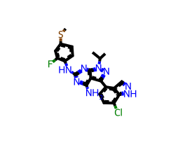 CSc1ccc(Nc2nc(N)c3c(-c4ccc(Cl)c5[nH]ncc45)nn(C(C)C)c3n2)c(F)c1